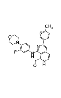 Cc1ccc(-c2cc3c(c(Nc4ccc(N5CCOCC5)c(F)c4)n2)C(C=O)NC=C3)cn1